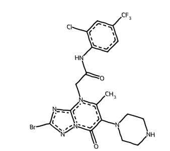 Cc1c(N2CCNCC2)c(=O)n2nc(Br)nc2n1CC(=O)Nc1ccc(C(F)(F)F)cc1Cl